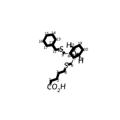 O=C(O)CCCCSC[C@@H]1[C@H](CSCC2CCCCC2)[C@@H]2CC[C@H]1O2